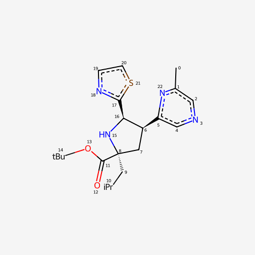 Cc1cncc([C@H]2C[C@@](CC(C)C)(C(=O)OC(C)(C)C)N[C@H]2c2nccs2)n1